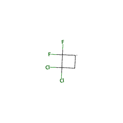 FC1(F)[CH]CC1(Cl)Cl